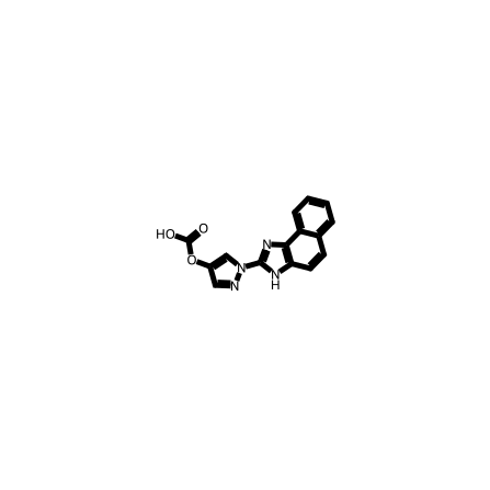 O=C(O)Oc1cnn(-c2nc3c(ccc4ccccc43)[nH]2)c1